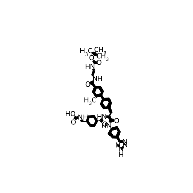 Cc1cc(C(=O)NCCNC(=O)OC(C)(C)C)ccc1-c1ccc(C[C@H](NC(=O)[C@H]2CC[C@H](CNC(=O)O)CC2)C(=O)Nc2ccc(-c3nn[nH]n3)cc2)cc1